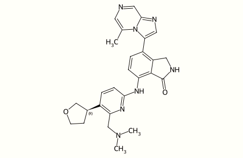 Cc1cncc2ncc(-c3ccc(Nc4ccc([C@H]5CCOC5)c(CN(C)C)n4)c4c3CNC4=O)n12